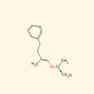 CC(=CO[C@@H](C)C(=O)O)CCc1ccccc1